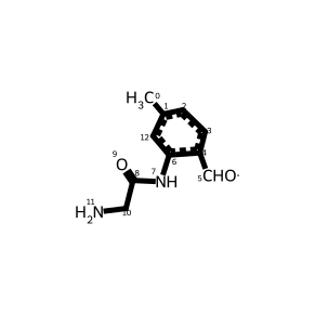 Cc1ccc([C]=O)c(NC(=O)CN)c1